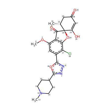 COc1cc(-c2nnc(C3CCN(C)CC3)o2)c(Cl)c2c1C(=O)[C@@]1(O2)C(O)=CC(=O)C[C@H]1C